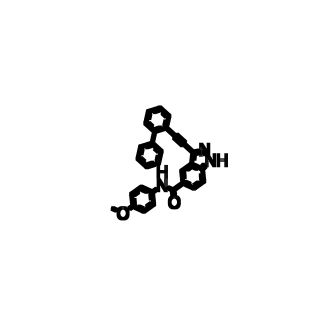 COc1ccc(NC(=O)c2ccc3[nH]nc(C#Cc4ccccc4-c4ccccc4)c3c2)cc1